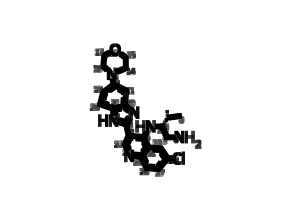 CC[C@H](CN)Nc1c(-c2nc3cc(N4CCOCC4)ccc3[nH]2)cnc2ccc(Cl)cc12